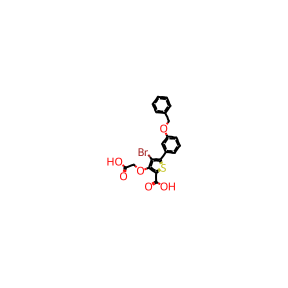 O=C(O)COc1c(C(=O)O)sc(-c2cccc(OCc3ccccc3)c2)c1Br